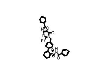 CCc1nc2nc(-c3ccccc3)oc2c(=O)n1Cc1ccc(-c2ccccc2S(=O)(=O)NC(=O)c2ccccc2)cc1